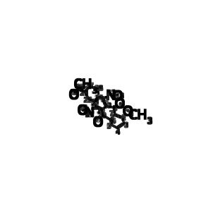 COc1cccc2c1C(=O)c1c(N=O)c3c(c(N=O)c1C2=O)CC(C(C)=O)CC3